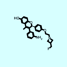 CC1=C(c2cccc(N)c2)[C@H](c2ccc(OCCN3CC(CF)C3)cc2)Oc2ccc(O)cc21